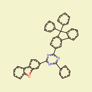 c1ccc(-c2nc(-c3ccc4c(c3)-c3ccccc3C4(c3ccccc3)c3ccccc3)nc(-c3ccc4c(c3)oc3ccccc34)n2)cc1